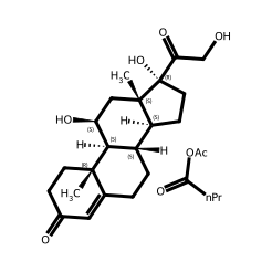 CCCC(=O)OC(C)=O.C[C@]12CCC(=O)C=C1CC[C@@H]1[C@@H]2[C@@H](O)C[C@@]2(C)[C@H]1CC[C@]2(O)C(=O)CO